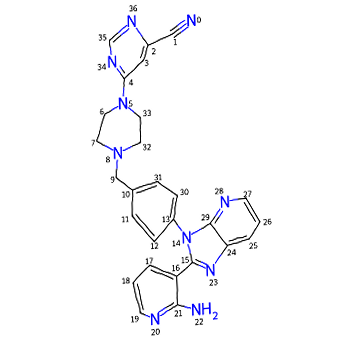 N#Cc1cc(N2CCN(Cc3ccc(-n4c(-c5cccnc5N)nc5cccnc54)cc3)CC2)ncn1